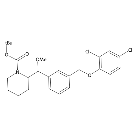 COC(c1cccc(COc2ccc(Cl)cc2Cl)c1)C1CCCCN1C(=O)OC(C)(C)C